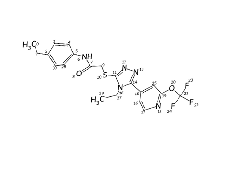 CCc1ccc(NC(=O)CSc2nnc(-c3ccnc(OC(F)(F)F)c3)n2CC)cc1